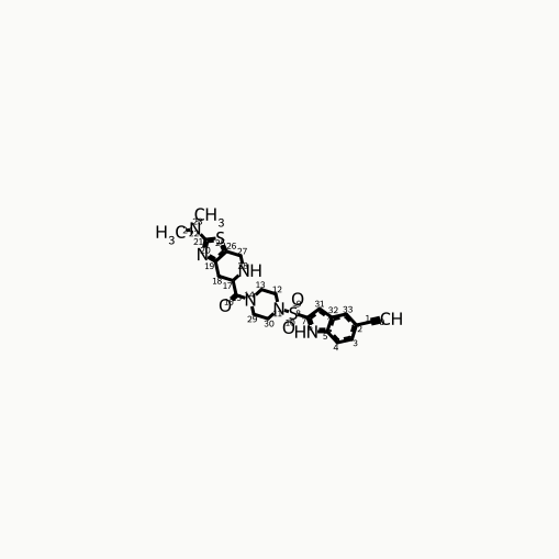 C#Cc1ccc2[nH]c(S(=O)(=O)N3CCN(C(=O)C4Cc5nc(N(C)C)sc5CN4)CC3)cc2c1